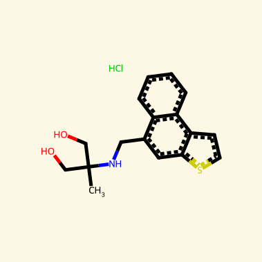 CC(CO)(CO)NCc1cc2sccc2c2ccccc12.Cl